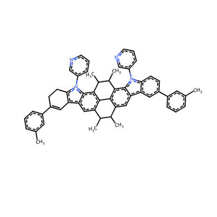 Cc1cccc(C2=Cc3c(n(-c4cccnc4)c4c5c6c(cc34)C(C)C(C)c3cc4c7cc(-c8cccc(C)c8)ccc7n(-c7cccnc7)c4c(c3-6)C(C)C5C)CC2)c1